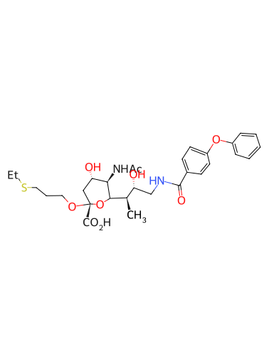 CCSCCCO[C@]1(C(=O)O)C[C@H](O)[C@@H](NC(C)=O)C([C@H](C)[C@H](O)CNC(=O)c2ccc(Oc3ccccc3)cc2)O1